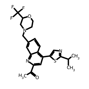 CC(=O)c1cc(-c2cnc(C(C)C)s2)c2ccc(CN3CCOC(C(F)(F)F)C3)cc2n1